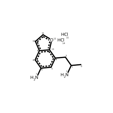 CC(N)Cc1cc(N)cc2ccoc12.Cl.Cl